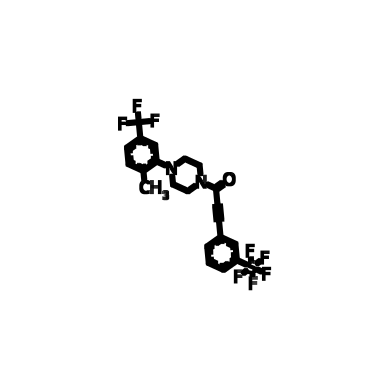 Cc1ccc(C(F)(F)F)cc1N1CCN(C(=O)C#Cc2cccc(S(F)(F)(F)(F)F)c2)CC1